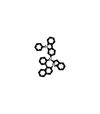 c1ccc(-n2c3ccccc3c3ccc(N4c5ccccc5-c5c(ccc6ccccc56)-n5c4cc4ccccc45)cc32)cc1